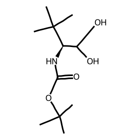 CC(C)(C)OC(=O)N[C@H](C(O)O)C(C)(C)C